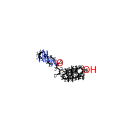 CC(CCC(=O)N1CCN(c2ncccn2)CC1)[C@H]1CC[C@H]2[C@@H]3CC[C@H]4C[C@@H](O)CC[C@]4(C)[C@H]3CC[C@]12C